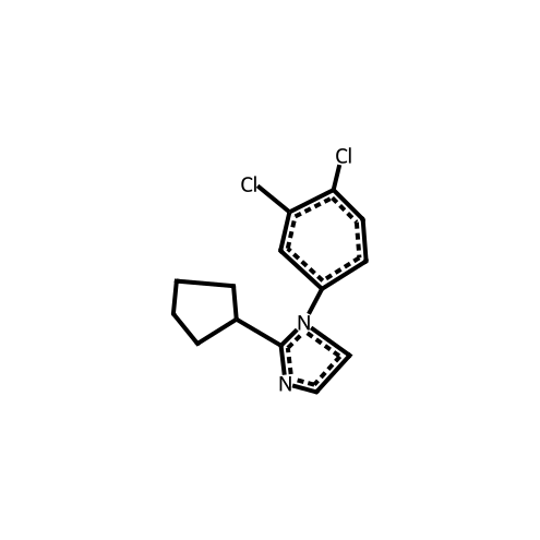 Clc1ccc(-n2ccnc2C2CCCC2)cc1Cl